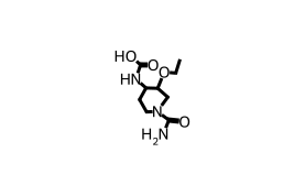 CCOC1CN(C(N)=O)CCC1NC(=O)O